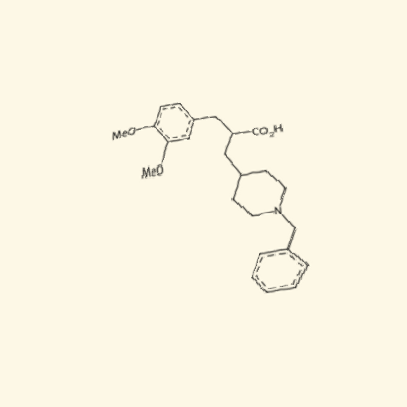 COc1ccc(CC(CC2CCN(Cc3ccccc3)CC2)C(=O)O)cc1OC